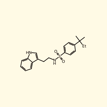 CCC(C)(C)c1ccc(S(=O)(=O)NCCc2c[nH]c3ccccc23)cc1